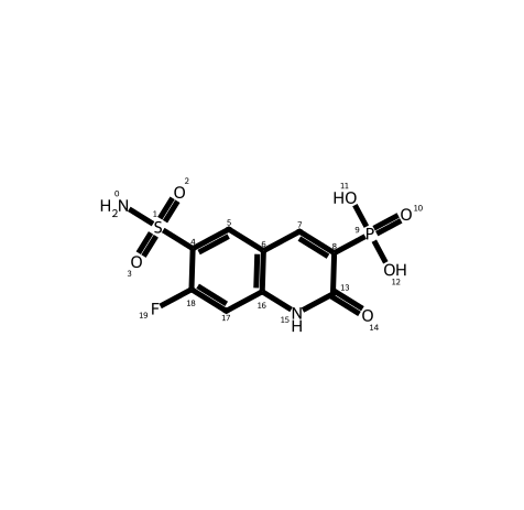 NS(=O)(=O)c1cc2cc(P(=O)(O)O)c(=O)[nH]c2cc1F